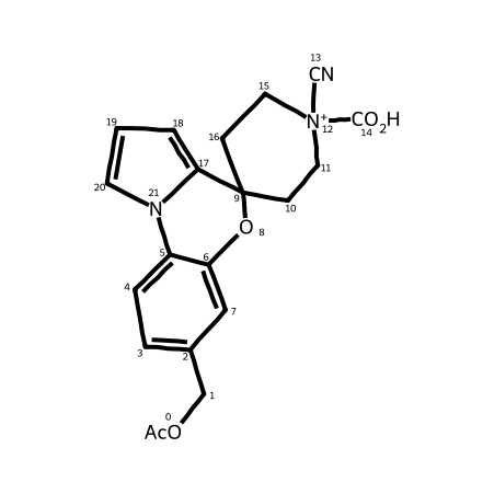 CC(=O)OCc1ccc2c(c1)OC1(CC[N+](C#N)(C(=O)O)CC1)c1cccn1-2